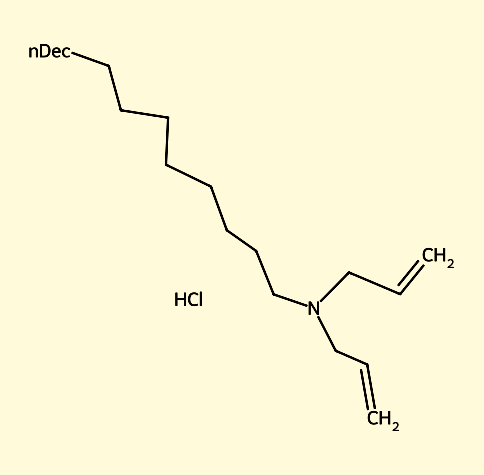 C=CCN(CC=C)CCCCCCCCCCCCCCCCCC.Cl